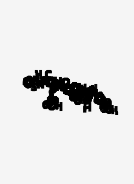 Cc1cc(N=Nc2ccc3c(S(=O)(=O)O)c(N=Nc4cnn(-c5ccc(S(=O)(=O)O)cc5)c4O)ccc3c2O)c(OCCCS(=O)(=O)O)cc1N=Nc1nc2ccccc2s1